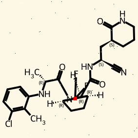 Cc1c(Cl)cccc1N[C@H](C)C(=O)N1[C@@H]2CC[C@H]([C@@H]1C(=O)N[C@H](C#N)C[C@@H]1CCCNC1=O)C(F)(F)C2